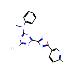 CN(c1ccccc1)c1nc(N)nc(-c2noc(-c3ccc(Cl)nc3)n2)n1